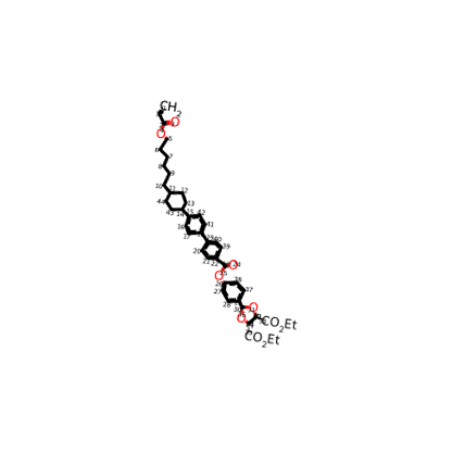 C=CC(=O)OCCCCCCC1CCC(c2ccc(-c3ccc(C(=O)Oc4ccc(C5O[C@@H](C(=O)OCC)[C@H](C(=O)OCC)O5)cc4)cc3)cc2)CC1